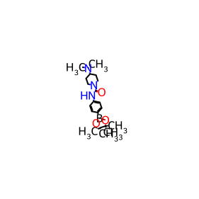 CN(C)C1CCN(C(=O)Nc2ccc(B3OC(C)(C)C(C)(C)O3)cc2)CC1